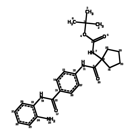 CC(C)(C)OC(=O)NC1(C(=O)Nc2ccc(C(=O)Nc3ccccc3N)cc2)CCCC1